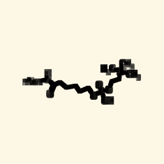 CCCCCCCCCNC(=O)CCCCCOP(=O)(O)OCC[N+](C)(C)C